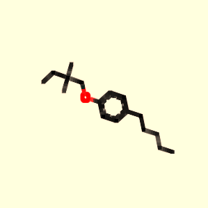 CCCCCc1ccc(OCC(C)(C)CC)cc1